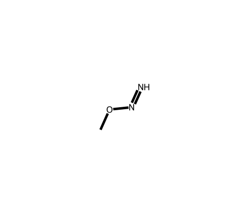 CON=N